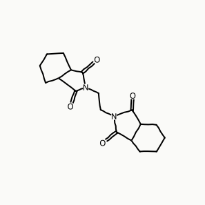 O=C1C2CCCCC2C(=O)N1CCN1C(=O)C2CCCCC2C1=O